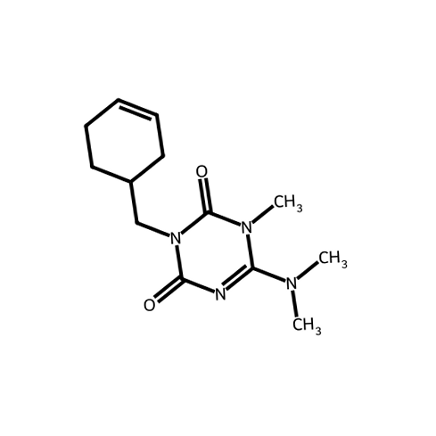 CN(C)c1nc(=O)n(CC2CC=CCC2)c(=O)n1C